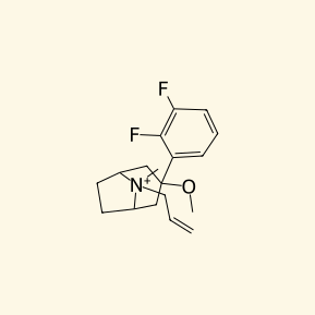 C=CC[N+]1(C)C2CCC1CC(OC)(c1cccc(F)c1F)C2